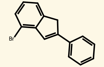 Brc1cccc2c1C=C(c1ccccc1)C2